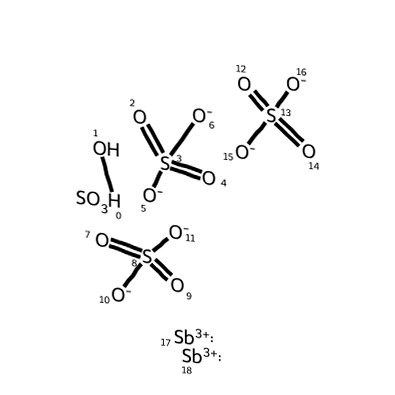 O=S(=O)(O)O.O=S(=O)([O-])[O-].O=S(=O)([O-])[O-].O=S(=O)([O-])[O-].[Sb+3].[Sb+3]